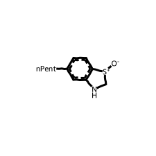 CCCCCc1ccc2c(c1)NC[S+]2[O-]